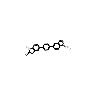 Cn1ncc2cc(-c3ccc(-c4ccc5c(c4)CC(=O)N5F)cc3)ccc21